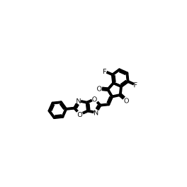 O=C1C(=Cc2nc3oc(-c4ccccc4)nc3o2)C(=O)c2c(F)ccc(F)c21